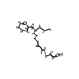 CCCC(CCCC/C=C\CCCCO)OC1CCCCO1